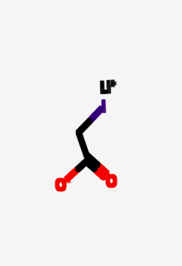 O=C([O-])CI.[Li+]